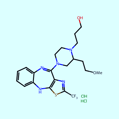 COCCC1CN(C2=Nc3ccccc3Nc3sc(C(F)(F)F)nc32)CCN1CCCO.Cl.Cl